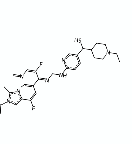 C=N\C=C(F)/C(=N\CNc1ccc(C(S)C2CCN(CC)CC2)cn1)C(=C/C)/C=C(/F)c1cn(C(C)C)c(C)n1